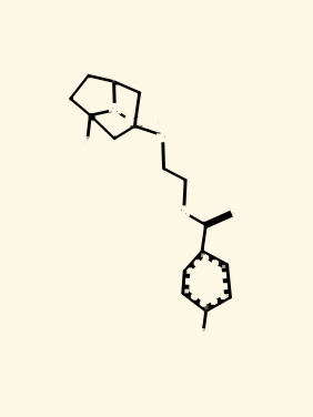 CCC12CCC(CC(NCCNC(=O)c3ccc(Cl)cc3)C1)N2C(=O)O